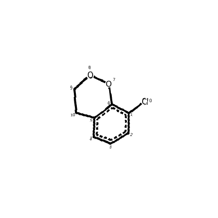 Clc1cc[c]c2c1OOCC2